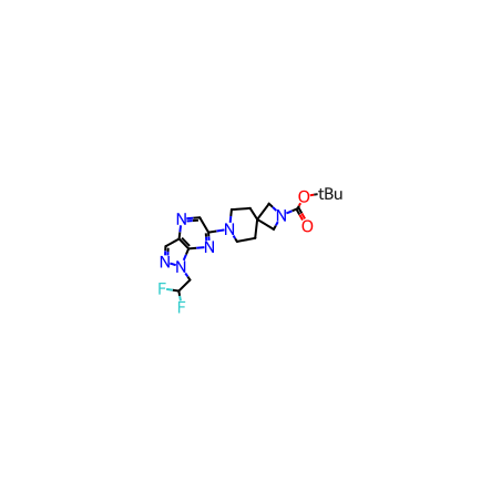 CC(C)(C)OC(=O)N1CC2(CCN(c3cnc4cnn(CC(F)F)c4n3)CC2)C1